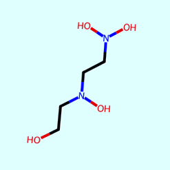 OCCN(O)CCN(O)O